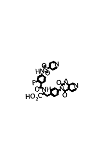 Cn1c(=O)n(-c2ccc(CC(NC(=O)c3ccc(NS(=O)(=O)c4ccncc4)cc3F)C(=O)O)cc2)c(=O)c2ccncc21